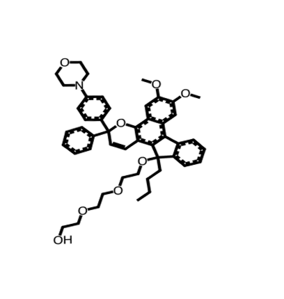 CCCCC1(OCCOCCOCCO)c2ccccc2-c2c1c1c(c3cc(OC)c(OC)cc23)OC(c2ccccc2)(c2ccc(N3CCOCC3)cc2)C=C1